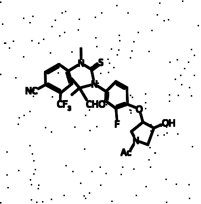 CC(=O)N1CC(O)C(Oc2ccc(N(C(=S)N(C)c3ccc(C#N)c(C(F)(F)F)c3)C(C)(C)C=O)cc2F)C1